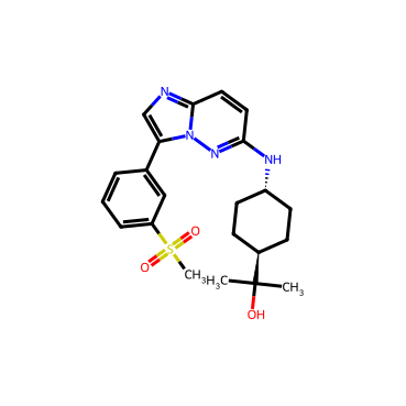 CC(C)(O)[C@H]1CC[C@H](Nc2ccc3ncc(-c4cccc(S(C)(=O)=O)c4)n3n2)CC1